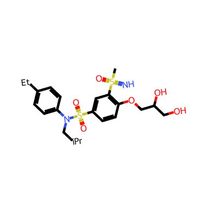 CCc1ccc(N(CC(C)C)S(=O)(=O)c2ccc(OCC(O)CO)c(S(C)(=N)=O)c2)cc1